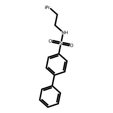 CC(C)CCNS(=O)(=O)c1ccc(-c2ccccc2)cc1